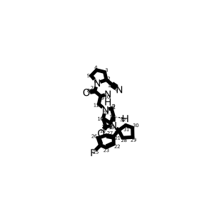 N#CC1CCCN1C(=O)C(N)CN1C[C@@H]2CC1C(=O)N2C1(c2ccc(F)cc2)CCCC1